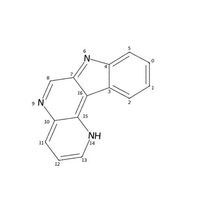 c1ccc2c(c1)nc1cnc3ccc[nH]c3c12